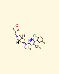 CN(c1cc(C(F)(F)F)c(-c2cc(F)ccc2Cl)nn1)[C@H]1C[C@@H]2CN(CC3CCOCC3)C[C@@H]2C1